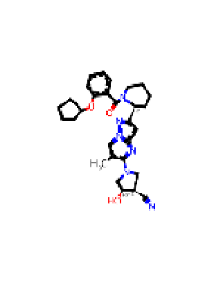 Cc1cn2nc([C@@H]3CCCCN3C(=O)c3ccccc3OC3CCCC3)cc2nc1N1C[C@@H](C#N)[C@@H](O)C1